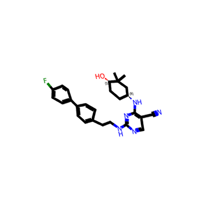 CC1(C)C[C@H](Nc2nc(NCCc3ccc(-c4ccc(F)cc4)cc3)ncc2C#N)CC[C@@H]1O